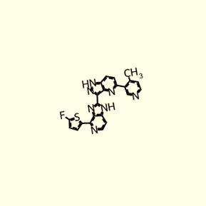 Cc1ccncc1-c1ccc2[nH]nc(-c3nc4c(-c5ccc(F)s5)nccc4[nH]3)c2n1